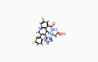 O=c1[nH]nc2c3c(cc(F)cc13)N=CC(c1ccccc1)C2c1ncnn1CCCO